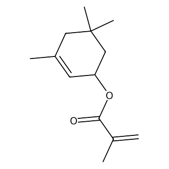 C=C(C)C(=O)OC1C=C(C)CC(C)(C)C1